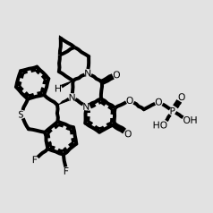 O=C1c2c(OCOP(=O)(O)O)c(=O)ccn2N([C@@H]2c3ccccc3SCc3c2ccc(F)c3F)[C@@H]2CC3CC3CN12